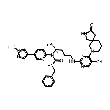 CCC[C@@H](CCCNc1ncc(C#N)c(N2CCCC3(CNC(=O)C3)C2)n1)N(C(=O)NCc1ccccc1)c1ccc(-c2cnn(C)c2)cn1